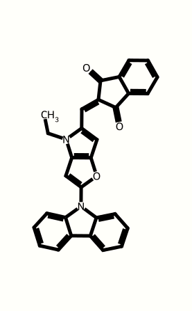 CCn1c(C=C2C(=O)c3ccccc3C2=O)cc2oc(-n3c4ccccc4c4ccccc43)cc21